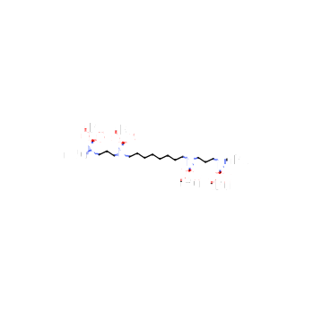 CCCCN(CCCN(CCCCCCCCN(CCCN(CCCC)C(=O)OC(C)(C)C)C(=O)OC(C)(C)C)C(=O)OC(C)(C)C)C(=O)OC(C)(C)C